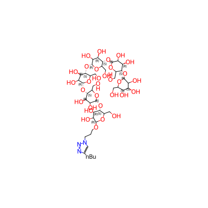 CCCCc1cn(CCCO[C@@H]2OC(CO)[C@@H](O[C@H]3OC(CO)[C@@H](O[C@H]4OC(CO)[C@@H](O[C@H]5OC(CO)[C@@H](O[C@H]6OC(CO)[C@@H](O[C@H]7OC(CO)[C@@H](O)[C@H](O)C7O)[C@H](O)C6O)[C@H](O)C5O)[C@H](O)C4O)[C@H](O)C3O)[C@H](O)C2O)nn1